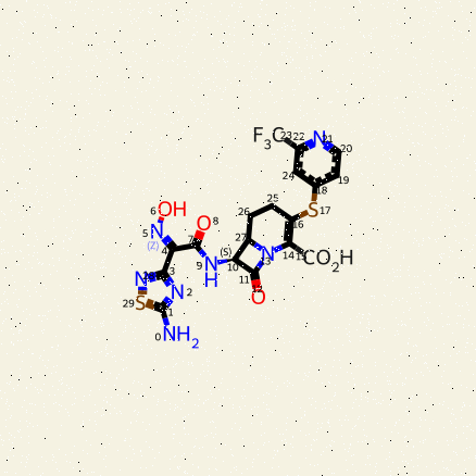 Nc1nc(/C(=N/O)C(=O)N[C@@H]2C(=O)N3C(C(=O)O)=C(Sc4ccnc(C(F)(F)F)c4)CCC23)ns1